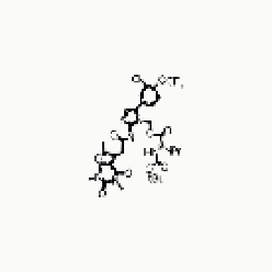 Cc1oc2c(c1CC(=O)N=c1scc(-c3ccc(OC(F)(F)F)c(Cl)c3)n1COC(=O)[C@@H](NC(=O)OC(C)(C)C)C(C)C)c(=O)n(C)c(=O)n2C